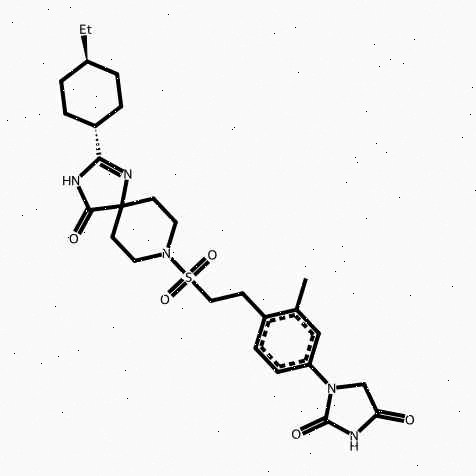 CC[C@H]1CC[C@H](C2=NC3(CCN(S(=O)(=O)CCc4ccc(N5CC(=O)NC5=O)cc4C)CC3)C(=O)N2)CC1